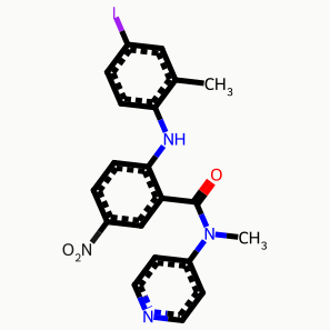 Cc1cc(I)ccc1Nc1ccc([N+](=O)[O-])cc1C(=O)N(C)c1ccncc1